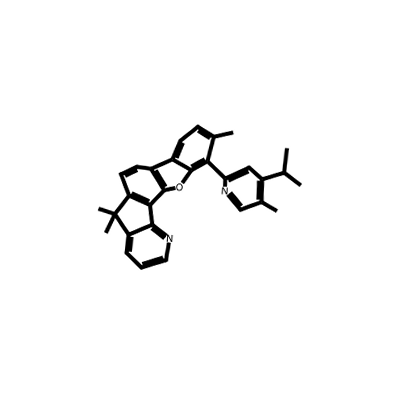 Cc1cnc(-c2c(C)ccc3c2oc2c4c(ccc23)C(C)(C)c2cccnc2-4)cc1C(C)C